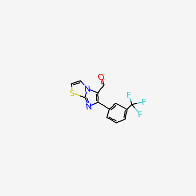 O=Cc1c(-c2cccc(C(F)(F)F)c2)nc2sccn12